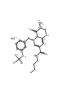 CCCCNC(=O)C1=CN(Cc2cccc(OC(F)(F)F)c2)C2C(=O)[C@@H](N)CSC2=C1.Cl